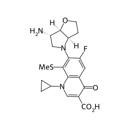 CSc1c(N2C[C@H](N)[C@H]3OCC[C@H]32)c(F)cc2c(=O)c(C(=O)O)cn(C3CC3)c12